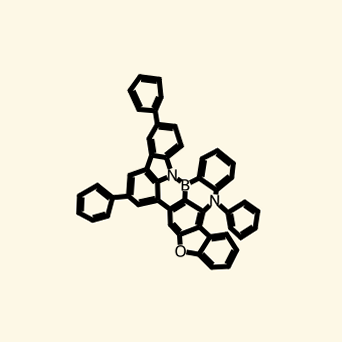 c1ccc(-c2ccc3c(c2)c2cc(-c4ccccc4)cc4c2n3B2c3ccccc3N(c3ccccc3)c3c2c-4cc2oc4ccccc4c32)cc1